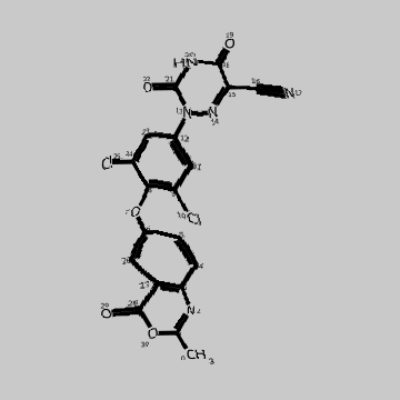 Cc1nc2ccc(Oc3c(Cl)cc(-n4nc(C#N)c(=O)[nH]c4=O)cc3Cl)cc2c(=O)o1